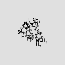 Cc1ncc(CCN2CCC(C)(N)CC2)cc1Nc1ncc2c(n1)-c1ccc(C(F)(F)F)cc1NC(=S)C2